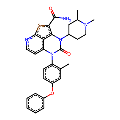 Cc1cc(Oc2ccccc2)ccc1N1C(=O)N(C2CCN(C)C(C)C2)c2c(C(N)=O)sc3nccc1c23